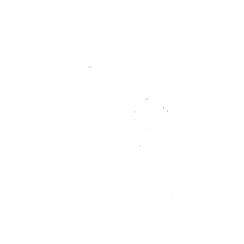 CCCCCCC(CCCCCC)C(C)(C)C(=O)NC